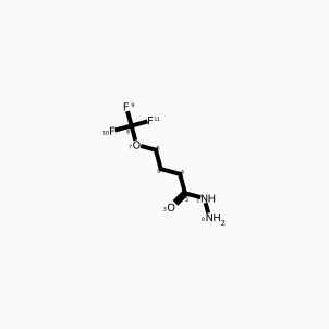 NNC(=O)CCCOC(F)(F)F